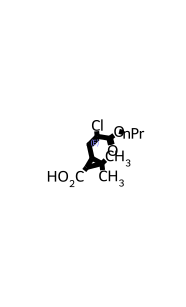 CCCOC(=O)/C(Cl)=C\C1C(C(=O)O)C1(C)C